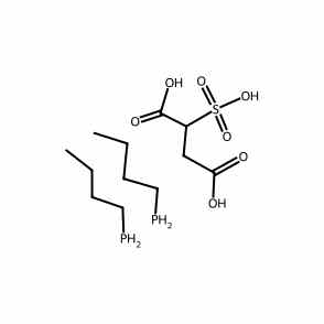 CCCCP.CCCCP.O=C(O)CC(C(=O)O)S(=O)(=O)O